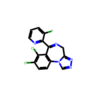 Fc1cccnc1C1=NCc2nncn2-c2ccc(Cl)c(Cl)c21